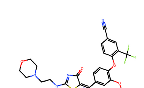 COc1cc(/C=C2/SC(NCCN3CCOCC3)=NC2=O)ccc1Oc1ccc(C#N)cc1C(F)(F)F